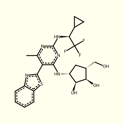 Cc1nc(N[C@@H](C2CC2)C(F)(F)F)nc(N[C@@H]2C[C@H](CO)[C@@H](O)[C@H]2O)c1-c1nc2ccccc2s1